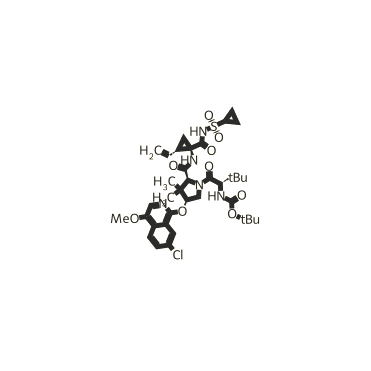 C=C[C@@H]1C[C@]1(NC(=O)[C@H]1N(C(=O)[C@@H](NC(=O)OC(C)(C)C)C(C)(C)C)C[C@H](Oc2ncc(OC)c3ccc(Cl)cc23)C1(C)C)C(=O)NS(=O)(=O)C1CC1